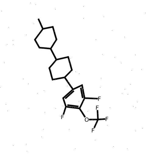 CC1CCC(C2CCC(c3cc(F)c(OC(F)(F)F)c(F)c3)CC2)CC1